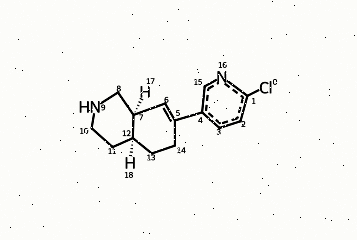 Clc1ccc(C2=C[C@@H]3CNCC[C@@H]3CC2)cn1